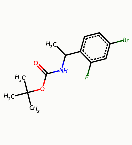 CC(NC(=O)OC(C)(C)C)c1ccc(Br)cc1F